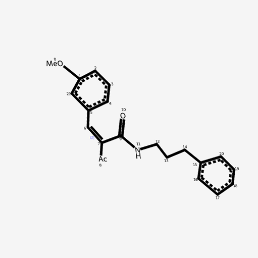 COc1cccc(/C=C(/C(C)=O)C(=O)NCCCc2ccccc2)c1